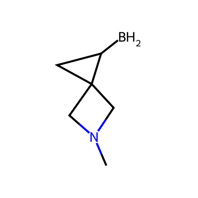 BC1CC12CN(C)C2